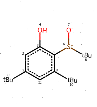 CC(C)(C)c1cc(O)c([S+]([O-])C(C)(C)C)c(C(C)(C)C)c1